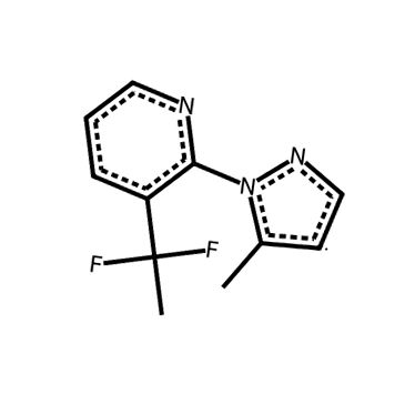 Cc1[c]cnn1-c1ncccc1C(C)(F)F